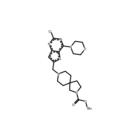 CC(C)(C)OC(=O)N1CCC2(CCN(Cc3cc4nc(Cl)nc(N5CCOCC5)c4s3)CC2)C1